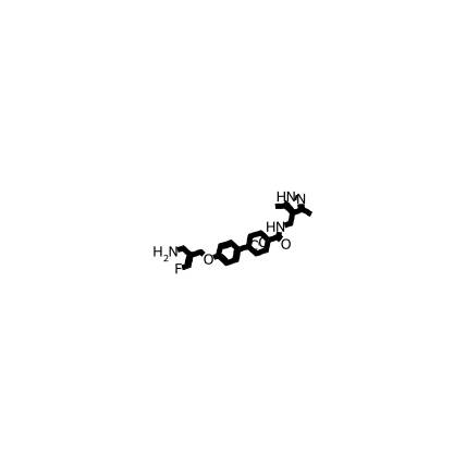 Cc1n[nH]c(C)c1CNC(=O)C12CCC(c3ccc(OCC(=CF)CN)cc3)(CC1)CC2